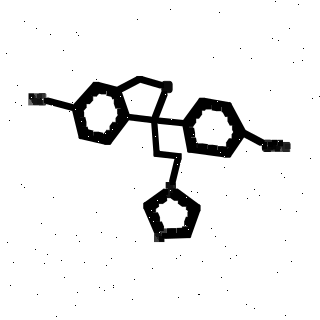 COc1ccc(C2(CCn3ccnc3)OCc3cc(C#N)ccc32)cc1